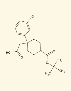 CC(C)(C)OC(=O)N1CCC(CC(=O)O)(c2cccc(Cl)c2)CC1